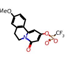 COc1ccc2c(c1)CCn1c-2cc(OS(=O)(=O)C(F)(F)F)cc1=O